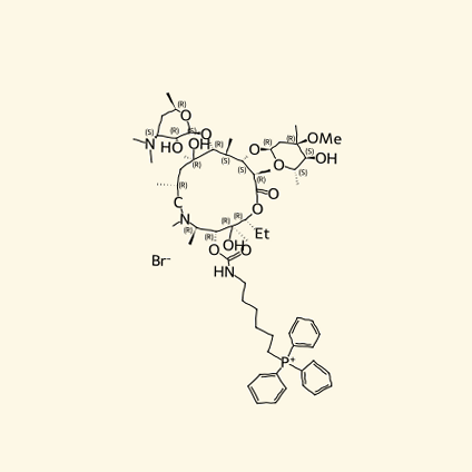 CC[C@H]1OC(=O)[C@H](C)[C@@H](O[C@H]2C[C@@](C)(OC)[C@@H](O)[C@H](C)O2)[C@H](C)[C@@H](O[C@@H]2O[C@H](C)C[C@H](N(C)C)[C@H]2O)[C@](C)(O)C[C@@H](C)CN(C)[C@H](C)[C@@H](OC(=O)NCCCCCC[P+](c2ccccc2)(c2ccccc2)c2ccccc2)[C@]1(C)O.[Br-]